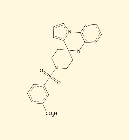 O=C(O)c1cccc(S(=O)(=O)N2CCC3(CC2)Nc2ccccc2-n2cccc23)c1